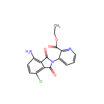 CCOC(=O)c1ncccc1N1C(=O)c2c(N)ccc(Cl)c2C1=O